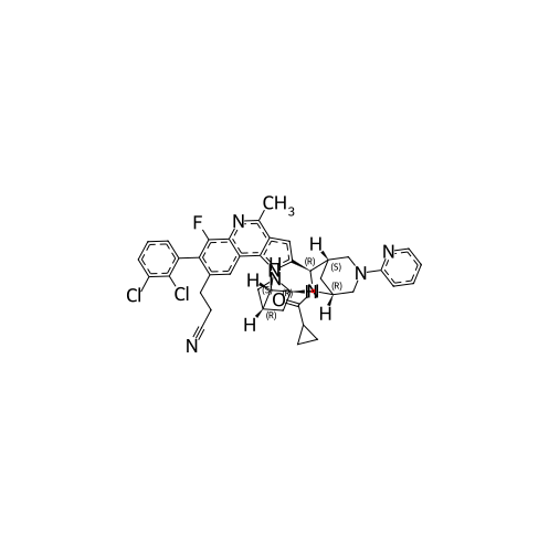 Cc1nc2c(F)c(-c3cccc(Cl)c3Cl)c(CCC#N)cc2c2c1cc([C@H]1[C@H]3C[C@H](CN(c4ccccn4)C3)N1C(=O)C1CC1)n2[C@H]1[C@H]2CN[C@@H]1C2